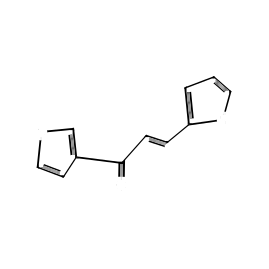 O=C(C=Cc1cccs1)c1ccsc1